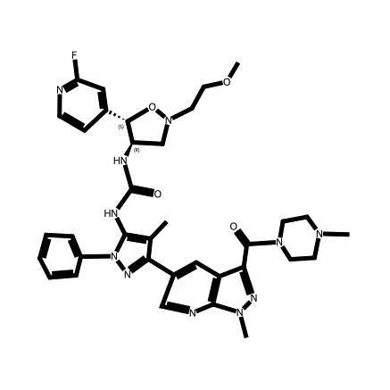 COCCN1C[C@@H](NC(=O)Nc2c(C)c(-c3cnc4c(c3)c(C(=O)N3CCN(C)CC3)nn4C)nn2-c2ccccc2)[C@H](c2ccnc(F)c2)O1